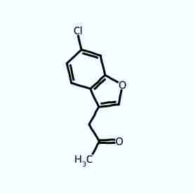 CC(=O)Cc1coc2cc(Cl)ccc12